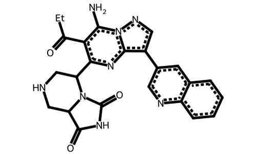 CCC(=O)c1c(C2CNCC3C(=O)NC(=O)N32)nc2c(-c3cnc4ccccc4c3)cnn2c1N